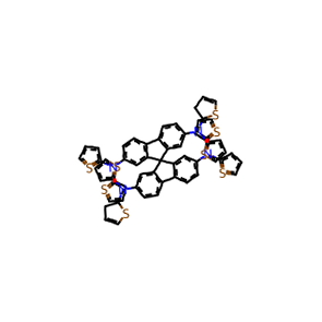 C1=CSC(N(c2ccc3c(c2)C2(c4cc(N(c5cccs5)c5cccs5)ccc4-3)c3cc(N(c4cccs4)c4cccs4)ccc3-c3ccc(N(c4cccs4)C4CC=CS4)cc32)c2cccs2)C1